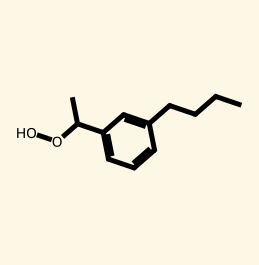 CCCCc1cccc(C(C)OO)c1